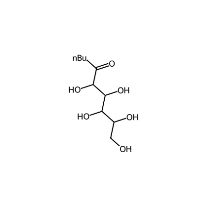 CCCCC(=O)C(O)C(O)C(O)C(O)CO